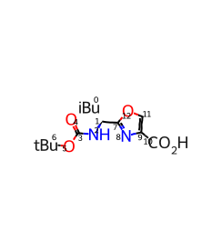 CC[C@H](C)[C@H](NC(=O)OC(C)(C)C)c1nc(C(=O)O)co1